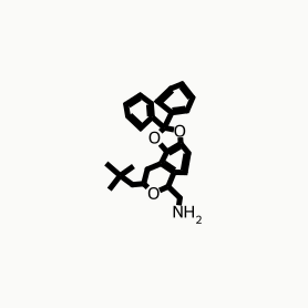 CC(C)(C)CC1Cc2c(ccc3c2OC(c2ccccc2)(c2ccccc2)O3)C(CN)O1